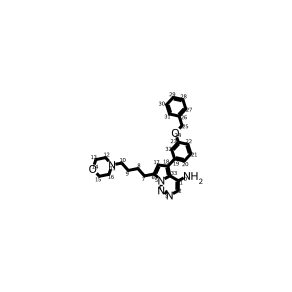 Nc1cnnn2c(CCCCN3CCOCC3)cc(-c3cccc(OCc4ccccc4)c3)c12